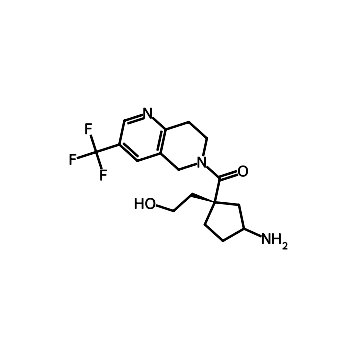 NC1CC[C@](CCO)(C(=O)N2CCc3ncc(C(F)(F)F)cc3C2)C1